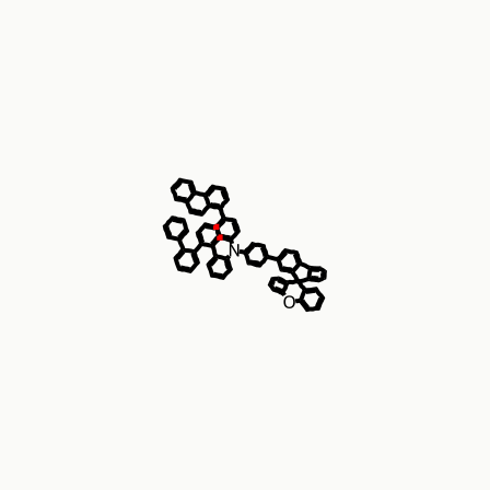 c1ccc(-c2ccccc2-c2ccccc2-c2ccccc2N(c2ccc(-c3ccc4c(c3)C3(c5ccccc5Oc5ccccc53)c3ccccc3-4)cc2)c2ccc(-c3cccc4c3ccc3ccccc34)cc2)cc1